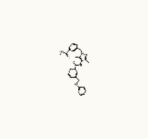 CNC(=O)c1cccc(Cn2nc(C)c(NC(=O)c3cccc(COc4ccccc4)c3)c2C)c1